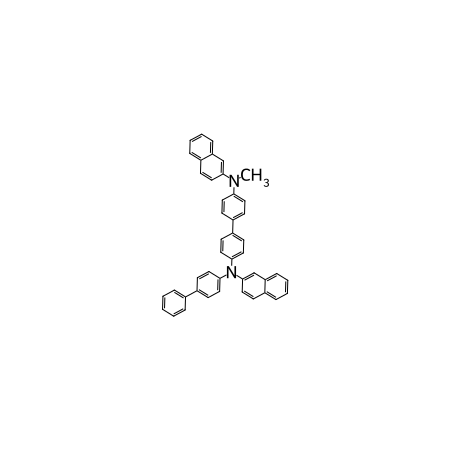 CN(c1ccc(-c2ccc(N(c3ccc(-c4ccccc4)cc3)c3ccc4ccccc4c3)cc2)cc1)c1ccc2ccccc2c1